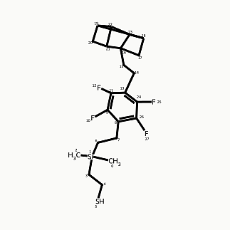 C[Si](C)(CCS)CCc1c(F)c(F)c(CCC23CC4C5CC2C5C43)c(F)c1F